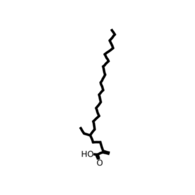 C=C(CCC(CC)CCCCCCCCCCCCCCCC)C(=O)O